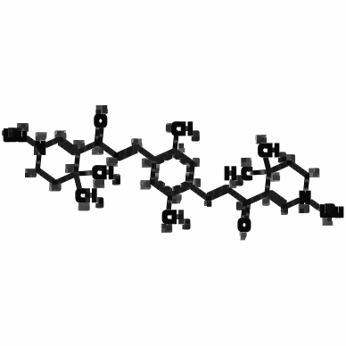 Cc1cc(/C=C/C(=O)C2=CN(C(C)(C)C)CCC2(C)C)c(C)cc1/C=C/C(=O)C1=CN(C(C)(C)C)CCC1(C)C